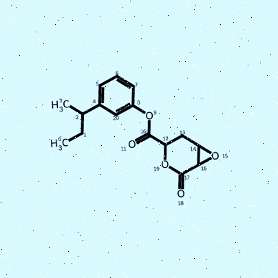 CCC(C)c1cccc(OC(=O)C2CC3OC3C(=O)O2)c1